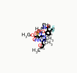 CCOC(=O)C1=C(N[C@@H](c2ccc(C)o2)C(C)(C)C)C(Nc2ccc(C(F)(F)F)c(C(=O)N(C)C)c2O)=NS1(=O)=O